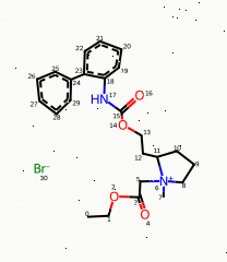 CCOC(=O)C[N+]1(C)CCCC1CCOC(=O)Nc1ccccc1-c1ccccc1.[Br-]